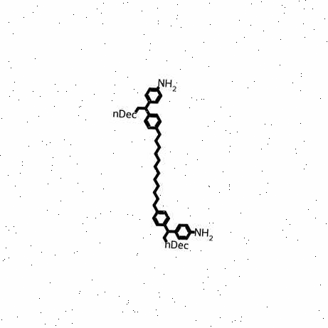 CCCCCCCCCCCC(c1ccc(N)cc1)c1ccc(CCCCCCCCCCCCc2ccc(C(CCCCCCCCCCC)c3ccc(N)cc3)cc2)cc1